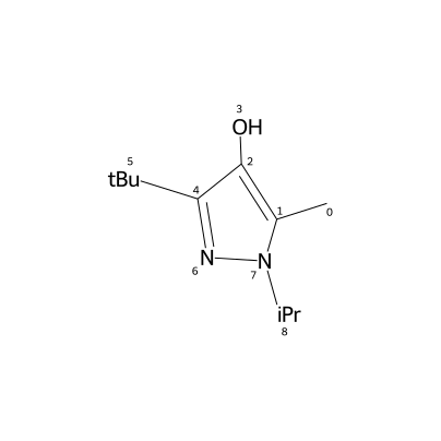 Cc1c(O)c(C(C)(C)C)nn1C(C)C